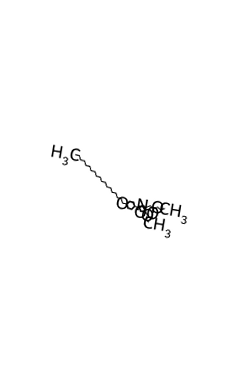 CCCCCCCCCCCCCCCCCCOc1ccc(-c2nc(CC(=O)OCC)c(OCC)o2)cc1